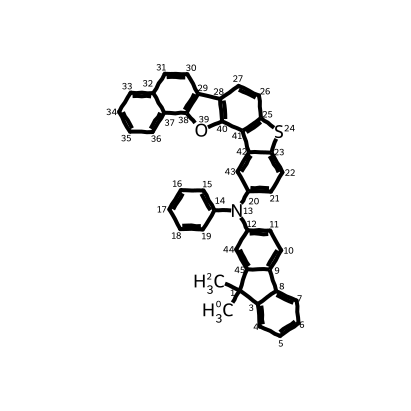 CC1(C)c2ccccc2-c2ccc(N(c3ccccc3)c3ccc4sc5ccc6c7ccc8ccccc8c7oc6c5c4c3)cc21